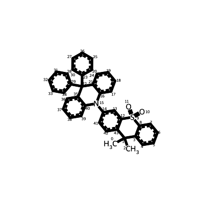 CC1(C)c2ccccc2S(=O)(=O)c2cc(N3c4ccccc4C(c4ccccc4)(c4ccccc4)c4ccccc43)ccc21